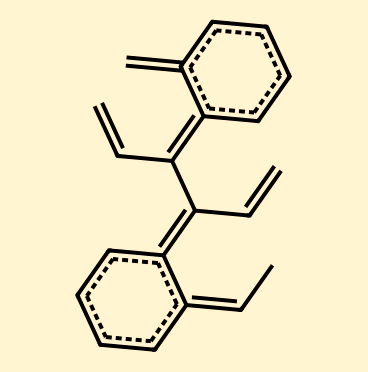 C=CC(/C(C=C)=c1\cccc\c1=C\C)=c1/ccccc1=C